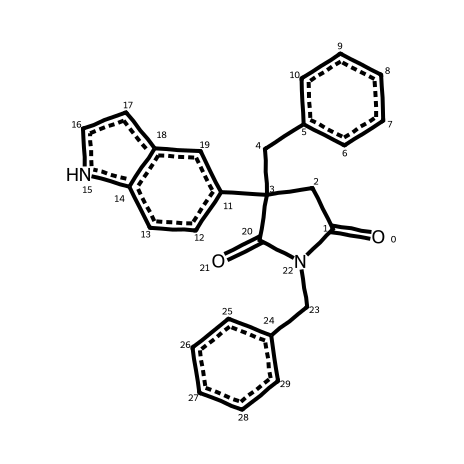 O=C1CC(Cc2ccccc2)(c2ccc3[nH]ccc3c2)C(=O)N1Cc1ccccc1